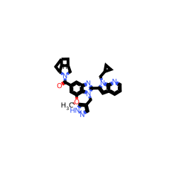 COc1cc(C(=O)N2CC3CC4CC2[C@H]43)cc2nc(-c3cc4cccnc4n3CC3CC3)n(Cc3cn[nH]c3)c12